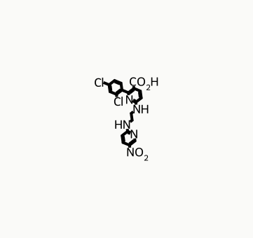 O=C(O)c1ccc(NCCNc2ccc([N+](=O)[O-])cn2)nc1-c1ccc(Cl)cc1Cl